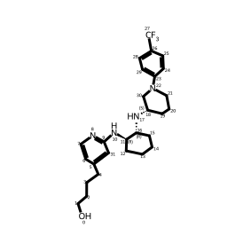 OCCCCc1ccnc(N[C@@H]2CCCC[C@H]2N[C@H]2CCCN(c3ccc(C(F)(F)F)cc3)C2)c1